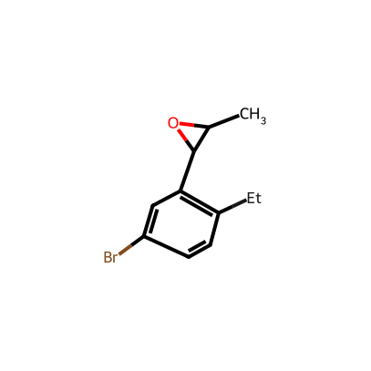 CCc1ccc(Br)cc1C1OC1C